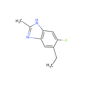 CCc1cc2nc(C)[nH]c2cc1F